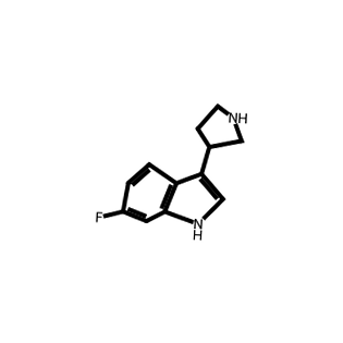 Fc1ccc2c(C3CCNC3)c[nH]c2c1